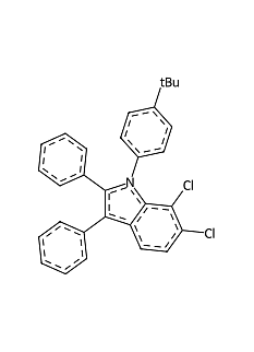 CC(C)(C)c1ccc(-n2c(-c3ccccc3)c(-c3ccccc3)c3ccc(Cl)c(Cl)c32)cc1